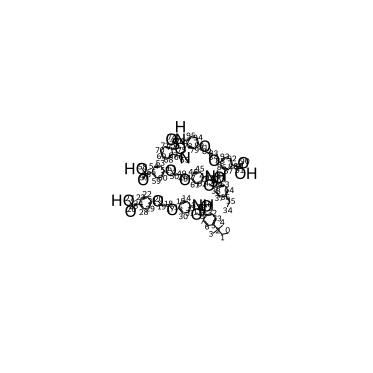 CCC(C)(C)c1ccc(S(=O)(=O)Nc2ccc(OCCOc3ccc(C(=O)O)cc3)cc2)cc1.CCc1ccc(S(=O)(=O)Nc2ccc(OCCOc3ccc(C(=O)O)cc3)cc2)cc1.N#Cc1ccccc1S(=O)(=O)Nc1ccc(OCCOc2ccc(C(=O)O)cc2)cc1